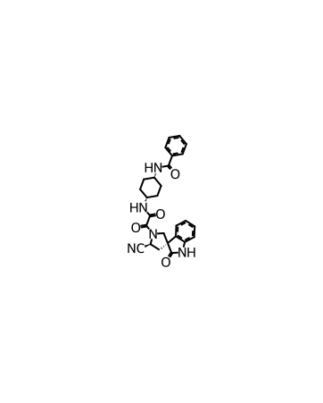 N#C[C@@H]1C[C@@]2(CN1C(=O)C(=O)N[C@H]1CC[C@@H](NC(=O)c3ccccc3)CC1)C(=O)Nc1ccccc12